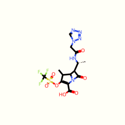 CC1C(OS(=O)(=O)C(F)(F)F)=C(C(=O)O)N2C(=O)C([C@@H](C)NC(=O)Cn3cnnn3)C12